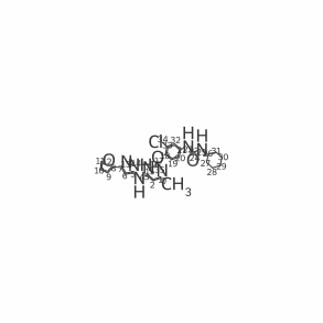 Cc1cc(Nc2cc(-c3ccco3)n[nH]2)nc(Oc2ccc(NC(=O)NC3CCCCC3)cc2Cl)n1